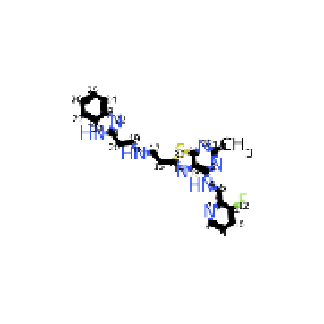 Cc1nc(NCc2ncccc2F)c2nc(CCNCCc3nc4ccccc4[nH]3)sc2n1